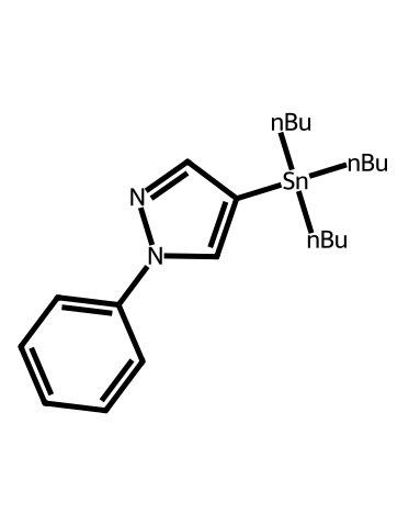 CCC[CH2][Sn]([CH2]CCC)([CH2]CCC)[c]1cnn(-c2ccccc2)c1